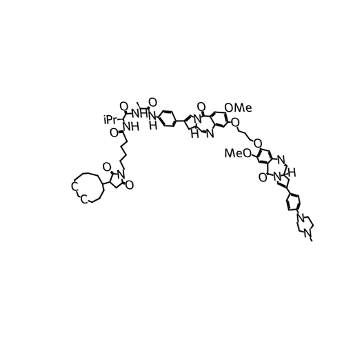 COc1cc2c(cc1OCCCOc1cc3c(cc1OC)C(=O)N1C=C(c4ccc(N5CCN(C)CC5)cc4)C[C@H]1C=N3)N=C[C@@H]1CC(c3ccc(NC(=O)[C@H](C)NC(=O)[C@@H](NC(=O)CCCCCN4C(=O)CC(C5CCCCCCCCCC5)C4=O)C(C)C)cc3)=CN1C2=O